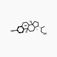 CC(CO)[C@H]1CC[C@H]2[C@@H]3CCc4cc(O)ccc4[C@H]3CC[C@]12C